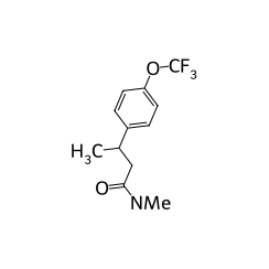 CNC(=O)CC(C)c1ccc(OC(F)(F)F)cc1